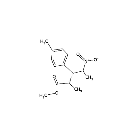 COC(=O)C(C)[C@H](c1ccc(C)cc1)C(C)[N+](=O)[O-]